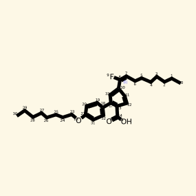 CCCCCCC/C=C(/F)c1ccc(C(=O)O)c(-c2ccc(OCCCCCCCC)cc2)c1